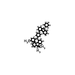 Cc1ccc(N(c2ccc(-c3cccc4c3c3ccccc3n4-c3ccccc3)cc2)c2cccc3c2-c2ccccc2C3(C)C)cc1